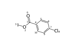 O=C(OI)c1ccc(Cl)cc1